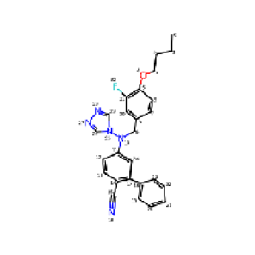 CCCCOc1ccc(CN(c2ccc(C#N)c(-c3ccccc3)c2)n2cnnc2)cc1F